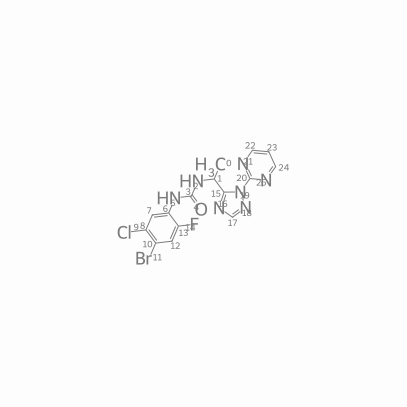 CC(NC(=O)Nc1cc(Cl)c(Br)cc1F)c1ncnn1-c1ncccn1